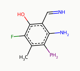 Cc1c(F)c(O)c(C=N)c(N)c1P